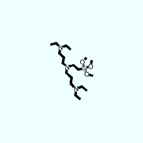 CCN(CC)CCCN(CCCN(CC)CC)CC[Si](OC)(OC)OC